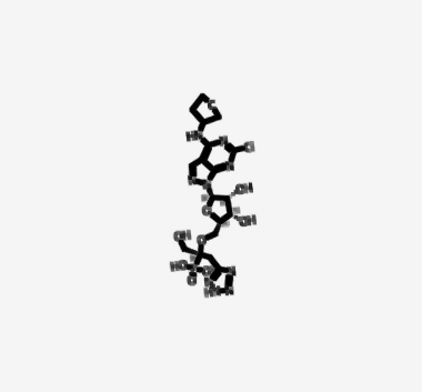 O=P(O)(O)[C@@](CO)(Cc1nn[nH]n1)OC[C@H]1O[C@@H](n2ncc3c(NC4CCCC4)nc(Cl)nc32)[C@H](O)[C@@H]1O